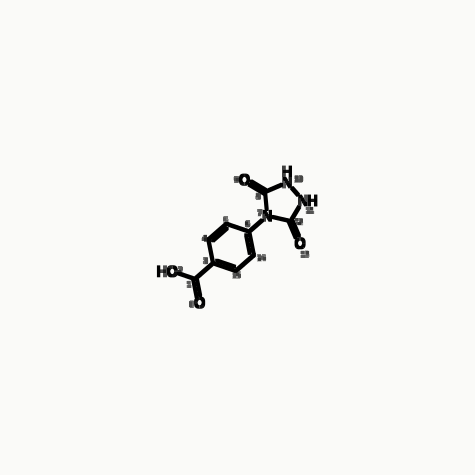 O=C(O)c1ccc(-n2c(=O)[nH][nH]c2=O)cc1